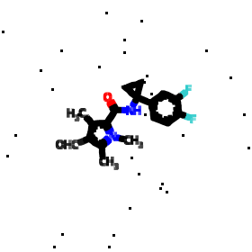 Cc1c(C=O)c(C)n(C)c1C(=O)NC1(c2ccc(F)c(F)c2)CC1